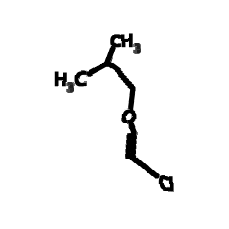 CC(C)COC=CCl